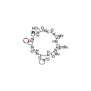 CC[C@H](C)[C@H]1C(=O)N[C@H](C(=O)N2CCCCC2)CC(=O)N[C@H](C)C(=O)N(C)[C@@H](Cc2ccccc2)C(=O)N(C)[C@@H](CC(C)C)C(=O)N[C@@H]([C@@H](C)O)C(=O)N(C)CC(=O)N(C)[C@@H](CC(C)C)C(=O)N[C@@H](COC(C)(C)C)C(=O)N1C